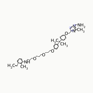 C=Cc1cccc(NCCCOCCCOCCCOc2ccc(C(C)(C)c3ccc(OCC(/C=C\N=C\N)=N/SC)cc3)cc2)c1C